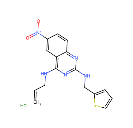 C=CCNc1nc(NCc2cccs2)nc2ccc([N+](=O)[O-])cc12.Cl